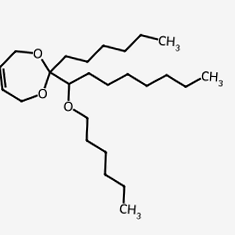 CCCCCCCC(OCCCCCC)C1(CCCCCC)OCC=CCO1